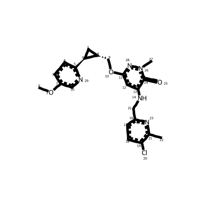 COc1ccc([C@H]2C[C@@H]2COc2cc(NCc3ccc(Cl)c(C)n3)c(=O)n(C)n2)nc1